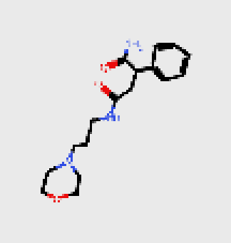 NC(=O)C([CH]C(=O)NCCCN1CCOCC1)c1ccccc1